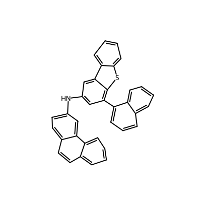 c1ccc2c(-c3cc(Nc4ccc5ccc6ccccc6c5c4)cc4c3sc3ccccc34)cccc2c1